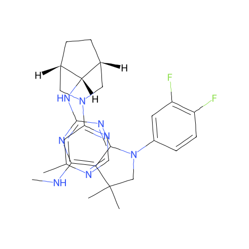 CNc1nc(N[C@H]2[C@@H]3CC[C@H]2CN(c2cc(C)ncn2)C3)nc2c1C(C)(C)CN2c1ccc(F)c(F)c1